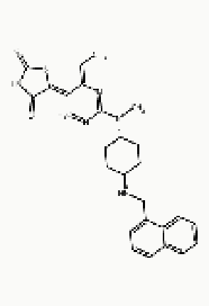 C=N\C(=N/C(=C\C)/C=C1\SC(=O)NC1=O)N(C)[C@H]1CC[C@H](NCc2cccc3ccccc23)CC1